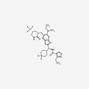 CCN(C)c1cc2nc([C@@H](NC(=O)c3ccnn3CC)C3CCC(F)(F)CC3)cn2nc1CC1C[C@@H](C(F)(F)F)CNC1=O